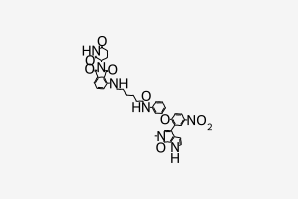 Cn1cc(-c2cc([N+](=O)[O-])ccc2Oc2cccc(NC(=O)CCCCCNc3cccc4c3C(=O)N(C3CCC(=O)NC3=O)C4=O)c2)c2cc[nH]c2c1=O